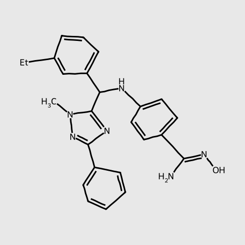 CCc1cccc(C(Nc2ccc(/C(N)=N/O)cc2)c2nc(-c3ccccc3)nn2C)c1